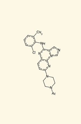 CC(=O)N1CCN(c2ccc3nc(Nc4c(C)cccc4Cl)c4cncn4c3n2)CC1